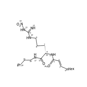 CCCCCCC=CC(=O)N[C@@H](CCCNC(=N)N[N+](=O)[O-])C(=O)NCCC(C)C